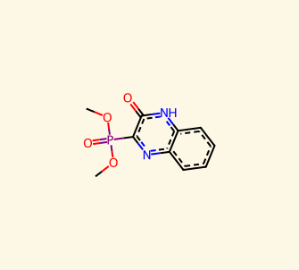 COP(=O)(OC)c1nc2ccccc2[nH]c1=O